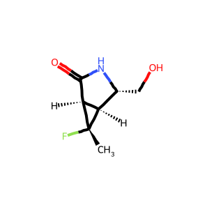 C[C@]1(F)[C@@H]2[C@@H](CO)NC(=O)[C@@H]21